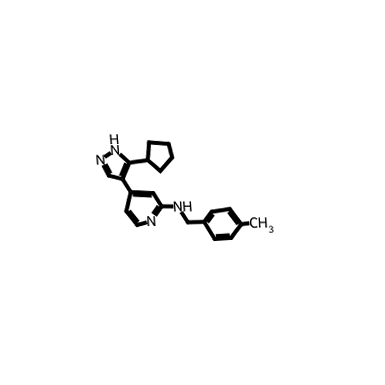 Cc1ccc(CNc2cc(-c3cn[nH]c3C3CCCC3)ccn2)cc1